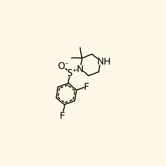 CC1(C)CNCCN1[S+]([O-])c1ccc(F)cc1F